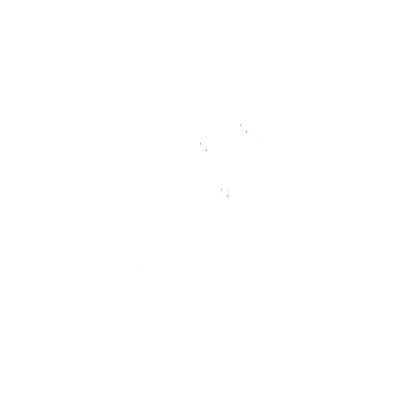 Nc1cnc(-c2ccc(F)cc2)cn1